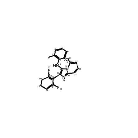 Cc1cccc(Cl)c1Nc1c(C2=C(F)CCC=C2F)nc2cccc(C)n12